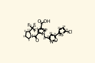 O=C(O)c1cc(C(=O)N2CCCC2C(F)(F)F)n(Cc2cc(-c3ccc(Cl)s3)on2)n1